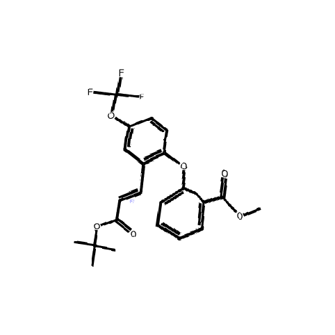 COC(=O)c1ccccc1Oc1ccc(OC(F)(F)F)cc1/C=C/C(=O)OC(C)(C)C